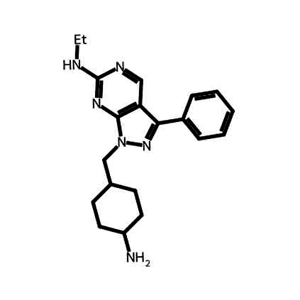 CCNc1ncc2c(-c3ccccc3)nn(CC3CCC(N)CC3)c2n1